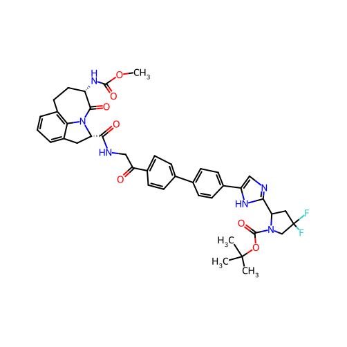 COC(=O)N[C@H]1CCc2cccc3c2N(C1=O)[C@H](C(=O)NCC(=O)c1ccc(-c2ccc(-c4cnc(C5CC(F)(F)CN5C(=O)OC(C)(C)C)[nH]4)cc2)cc1)C3